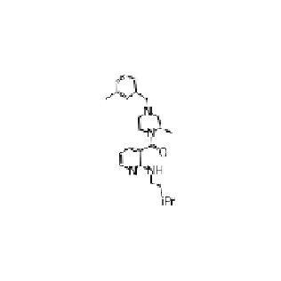 Cc1cccc(CN2CCN(C(=O)c3cccnc3NCCC(C)C)[C@H](C)C2)c1